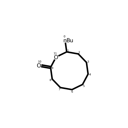 CCCCC1CCCCCCCC(=O)O1